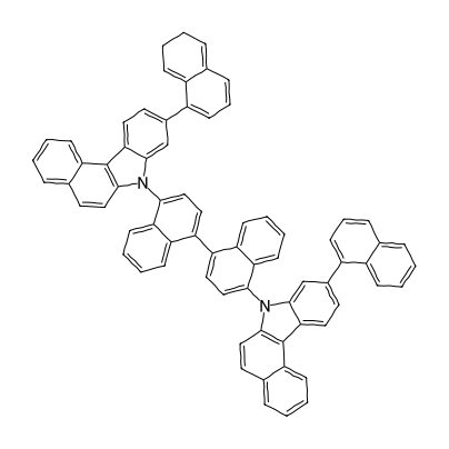 C1=c2cccc(-c3ccc4c5c6ccccc6ccc5n(-c5ccc(-c6ccc(-n7c8cc(-c9cccc%10ccccc9%10)ccc8c8c9ccccc9ccc87)c7ccccc67)c6ccccc56)c4c3)c2=CCC1